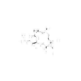 CCC/N=C(/[C@H](C)NC(/N=C(/N)NC)=C(\C#N)CN)N(C(C)=O)N(C)CCN(CC)CC(C)(C)C